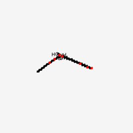 CCCCCCCCCCCCCCCCCCCCCCCC(=O)NC(CO)C(O)CCCCCCCCCCCCCCCCC